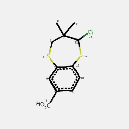 CC1(C)CSc2cc(C(=O)O)ccc2SC1Cl